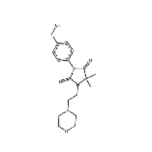 CC1(C)C(=O)N(c2ccc(SC(F)(F)F)cc2)C(=O)N1CCN1CCOCC1